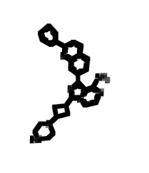 Nc1nccn2c(C3CC(N4CCNCC4)C3)nc(-c3ccc4ccc(-c5ccccc5)nc4c3)c12